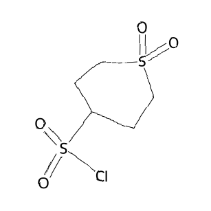 O=S1(=O)CCC(S(=O)(=O)Cl)CC1